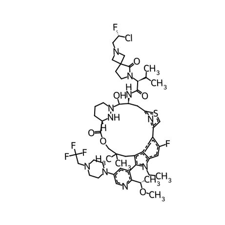 CCn1c(-c2cc(N3CCN(CC(F)(F)F)CC3)cnc2[C@H](C)OC)c2c3cc(c(F)cc31)-c1csc(n1)C[C@H](NC(=O)[C@H](C(C)C)N1CCC3(CN(C[C@H](F)Cl)C3)C1=O)C(O)N1CCC[C@H](N1)C(=O)OCC(C)(C)C2